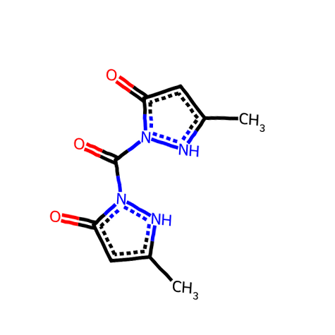 Cc1cc(=O)n(C(=O)n2[nH]c(C)cc2=O)[nH]1